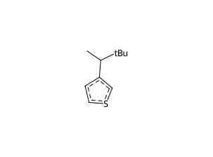 CC(c1ccsc1)C(C)(C)C